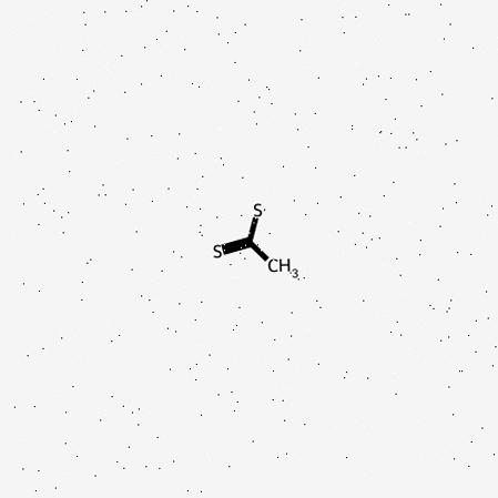 CC([S])=S